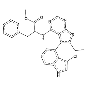 CCc1sc2ncnc(NC(Cc3ccccc3)C(=O)OC)c2c1-c1cccc2[nH]cc(Cl)c12